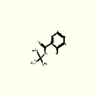 CC(=O)OC(OC(C)=O)(OC(C)=O)OC(=O)c1ccccc1C